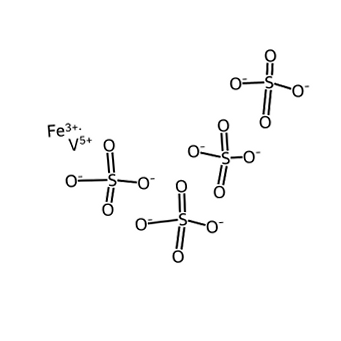 O=S(=O)([O-])[O-].O=S(=O)([O-])[O-].O=S(=O)([O-])[O-].O=S(=O)([O-])[O-].[Fe+3].[V+5]